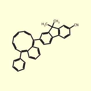 CC1(C)c2cc(C#N)ccc2-c2ccc(-c3ccccccc(-c4ccccc4)c4ccccc34)cc21